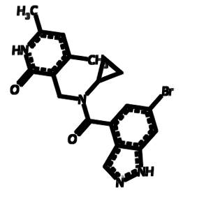 Cc1cc(C)c(CN(C(=O)c2cc(Br)cc3[nH]ncc23)C2CC2)c(=O)[nH]1